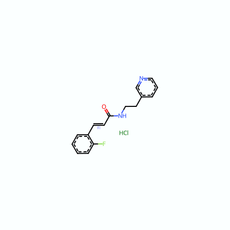 Cl.O=C(/C=C/c1ccccc1F)NCCc1cccnc1